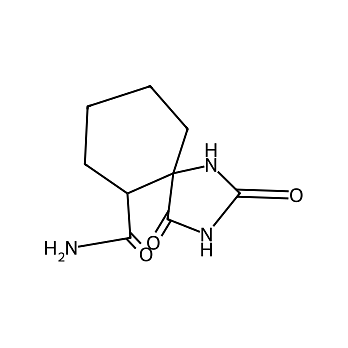 NC(=O)C1CCCCC12NC(=O)NC2=O